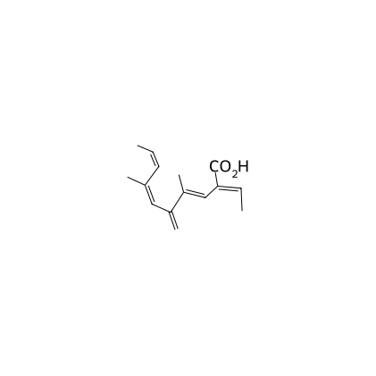 C=C(/C=C(C)\C=C/C)/C(C)=C/C(=C\C)C(=O)O